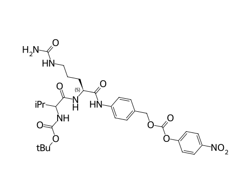 CC(C)C(NC(=O)OC(C)(C)C)C(=O)N[C@@H](CCCNC(N)=O)C(=O)Nc1ccc(COC(=O)Oc2ccc([N+](=O)[O-])cc2)cc1